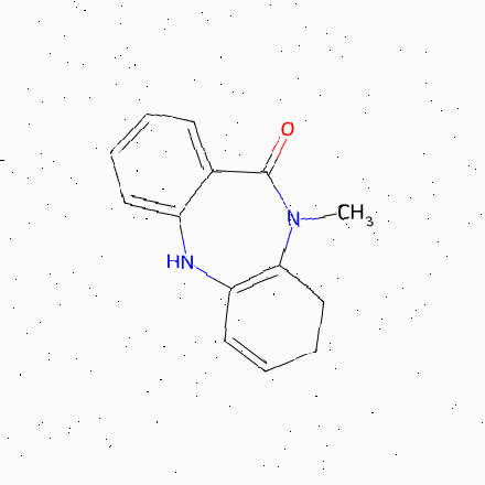 CN1C(=O)c2ccccc2NC2=C1CCC=C2